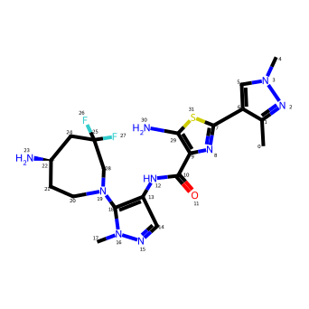 Cc1nn(C)cc1-c1nc(C(=O)Nc2cnn(C)c2N2CC[C@@H](N)CC(F)(F)C2)c(N)s1